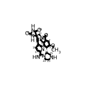 COc1ccc2c(c1)C(=O)N(C[C@@]1(C#Cc3ccc(C(=N)N4CCNCC4)nc3)NC(=O)NC1=O)C2